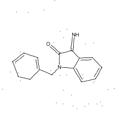 N=C1C(=O)N(CC2=CC=CCC2)c2ccccc21